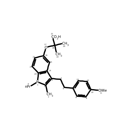 CCCn1c(C)c(CCc2ccc(OC)cc2)c2cc(OC(C)(C)C(=O)O)ccc21